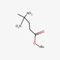 CCCCOC(=O)CCC(C)([N+](=O)[O-])[N+](=O)[O-]